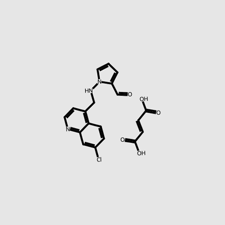 O=C(O)C=CC(=O)O.O=Cc1cccn1NCc1ccnc2cc(Cl)ccc12